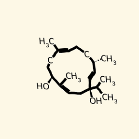 C/C1=C\CC[C@H](C)/C=C/[C@](O)(C(C)C)C/C=C(\C)[C@@H](O)CC1